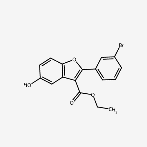 CCOC(=O)c1c(-c2cccc(Br)c2)oc2ccc(O)cc12